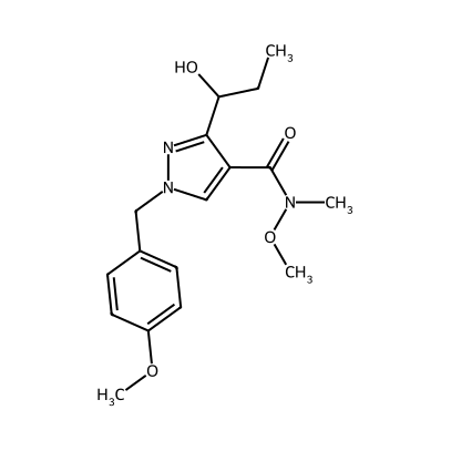 CCC(O)c1nn(Cc2ccc(OC)cc2)cc1C(=O)N(C)OC